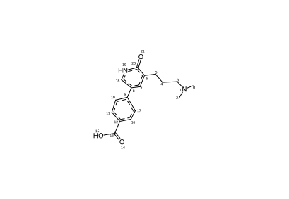 CN(C)CCCc1cc(-c2ccc(C(=O)O)cc2)c[nH]c1=O